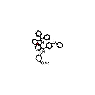 CC(=O)O[C@@H]1CCC[C@@H](n2nc(-c3ccc(Oc4ccccc4)cc3)c3c(N=P(c4ccccc4)(c4ccccc4)c4ccccc4)ncnc32)C1